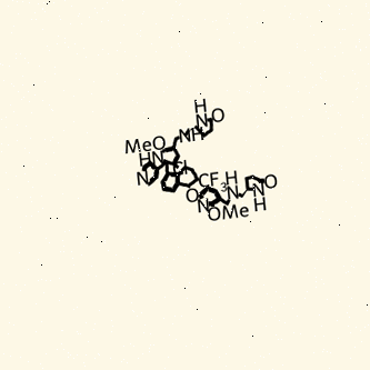 COC1=C(CNC[C@H]2CCC(=O)N2)C=C(Cl)C(c2ccncc2)(c2cccc3c2CCC[C@@H]3Oc2nc(OC)c(CNC[C@H]3CCC(=O)N3)cc2C(F)(F)F)N1